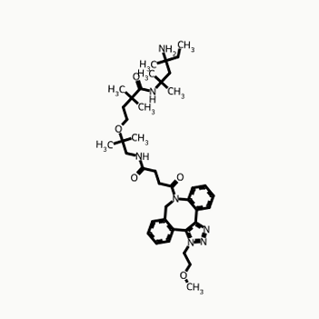 CCC(C)(N)CC(C)(C)NC(=O)C(C)(C)CCOC(C)(C)CNC(=O)CCC(=O)N1Cc2ccccc2-c2c(nnn2CCOC)-c2ccccc21